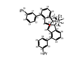 C[CH2][Hf]([CH3])([CH3])([CH3])(=[SiH2])([CH]1C=Cc2c(-c3cccc(C(C)C)c3)cccc21)[CH]1C=Cc2c(-c3cccc(C(C)C)c3)cccc21